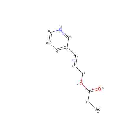 CC(=O)CC(=O)OC/C=C/c1cccnc1